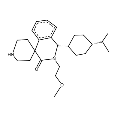 COCCN1C(=O)C2(CCNCC2)c2ccccc2C1[C@H]1CC[C@@H](C(C)C)CC1